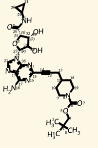 CC(C)(C)COC(=O)N1CCC(CC#Cc2nc(N)c3ncn([C@@H]4O[C@H](C(=O)NC5CC5)[C@H](O)C4O)c3n2)CC1